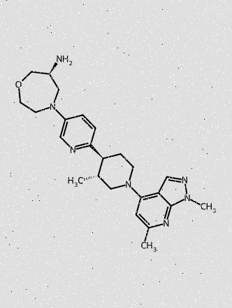 Cc1cc(N2CC[C@H](c3ccc(N4CCOC[C@@H](N)C4)cn3)[C@@H](C)C2)c2cnn(C)c2n1